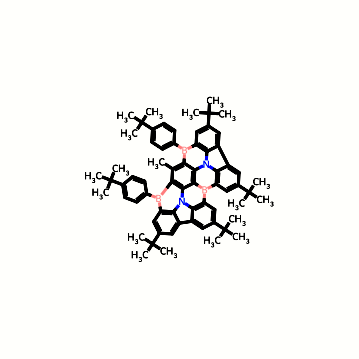 Cc1c2c3c4c5c1B(c1ccc(C(C)(C)C)cc1)c1cc(C(C)(C)C)cc6c7cc(C(C)(C)C)cc(c7n-5c16)B4c1cc(C(C)(C)C)cc4c5cc(C(C)(C)C)cc(c5n-3c14)B2c1ccc(C(C)(C)C)cc1